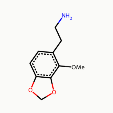 COc1c(CCN)ccc2c1OCO2